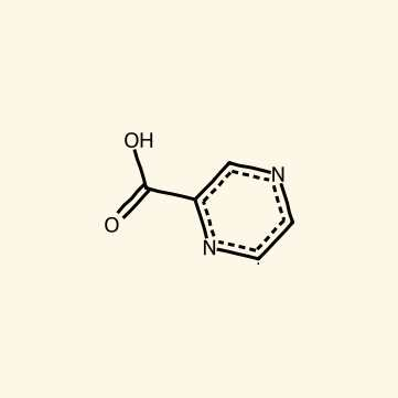 O=C(O)c1cnc[c]n1